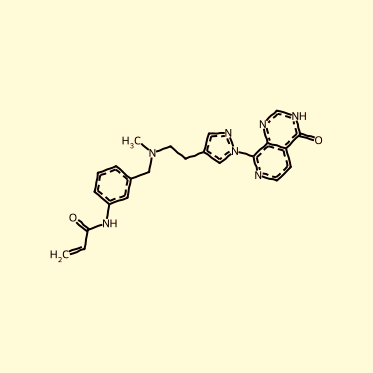 C=CC(=O)Nc1cccc(CN(C)CCc2cnn(-c3nccc4c(=O)[nH]cnc34)c2)c1